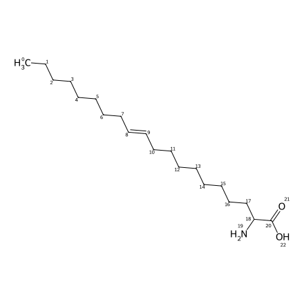 CCCCCCCCC=CCCCCCCCCC(N)C(=O)O